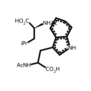 CC(=O)NC(Cc1c[nH]c2ccccc12)C(=O)O.CC(=O)N[C@@H](CC(C)C)C(=O)O